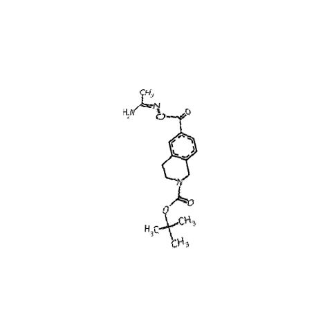 C/C(N)=N/OC(=O)c1ccc2c(c1)CCN(C(=O)OC(C)(C)C)C2